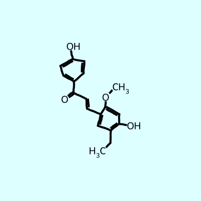 CCc1cc(C=CC(=O)c2ccc(O)cc2)c(OC)cc1O